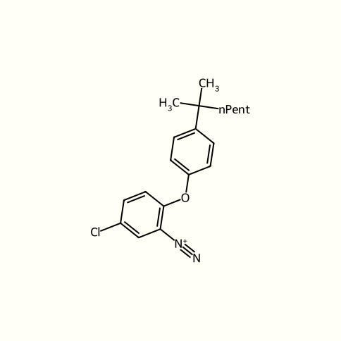 CCCCCC(C)(C)c1ccc(Oc2ccc(Cl)cc2[N+]#N)cc1